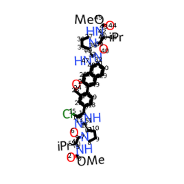 COC(=O)N[C@H](C(=O)N1CCC[C@H]1c1nc(Cl)c(-c2ccc3c(c2)COc2cc4c(ccc5nc([C@@H]6CCCN6C(=O)[C@@H](NC(=O)OC)C(C)C)[nH]c54)cc2-3)[nH]1)C(C)C